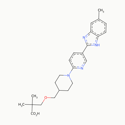 Cc1ccc2[nH]c(-c3ccc(N4CCC(COCC(C)(C)C(=O)O)CC4)nc3)nc2c1